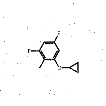 Cc1c(F)cc(F)cc1OC1CC1